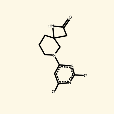 O=C1CC2(CCCN(c3cc(Cl)nc(Cl)n3)C2)N1